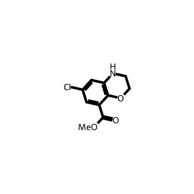 COC(=O)c1cc(Cl)cc2c1OCCN2